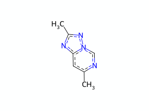 Cc1cc2nc(C)nn2cn1